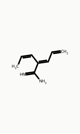 C=C/C=C(\C=C/C)C(=N)N